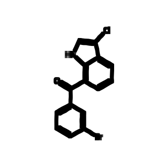 O=C(c1cccc(Br)c1)c1cccc2c(Cl)c[nH]c12